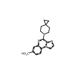 O=C(O)c1ccc2c(c1)nc(N1CCC3(CC1)CC3)c1nccn12